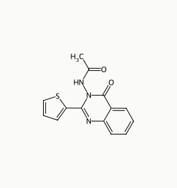 CC(=O)Nn1c(-c2cccs2)nc2ccccc2c1=O